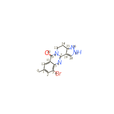 Cc1cc(Br)c2nc3n(c(=O)c2c1)CCc1n[nH]cc1-3